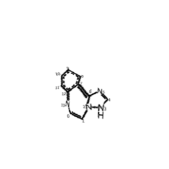 C1=CN2NC=NC2=c2ccccc2=N1